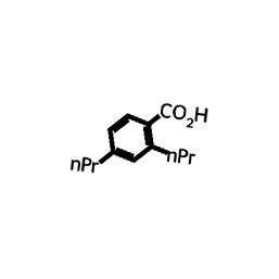 CCCc1ccc(C(=O)O)c(CCC)c1